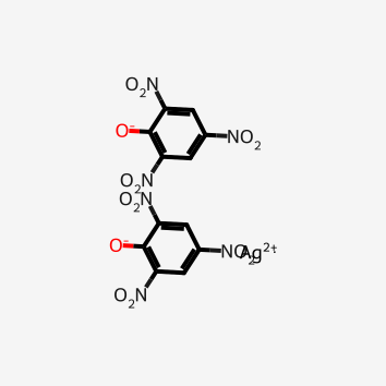 O=[N+]([O-])c1cc([N+](=O)[O-])c([O-])c([N+](=O)[O-])c1.O=[N+]([O-])c1cc([N+](=O)[O-])c([O-])c([N+](=O)[O-])c1.[Ag+2]